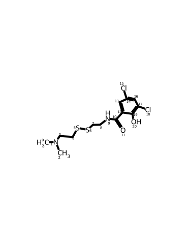 CN(C)CCSSCCNC(=O)c1cc(Cl)cc(Cl)c1O